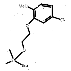 COc1ccc(C#N)cc1OCCO[Si](C)(C)C(C)(C)C